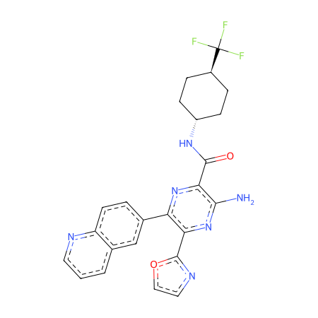 Nc1nc(-c2ncco2)c(-c2ccc3ncccc3c2)nc1C(=O)N[C@H]1CC[C@H](C(F)(F)F)CC1